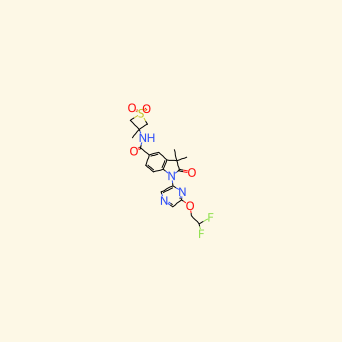 CC1(NC(=O)c2ccc3c(c2)C(C)(C)C(=O)N3c2cncc(OCC(F)F)n2)CS(=O)(=O)C1